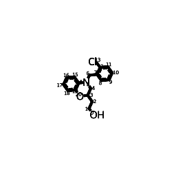 OCCC1CN(Cc2ccccc2Cl)c2ccccc2O1